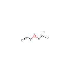 C=C[CH]OCC(=C)C